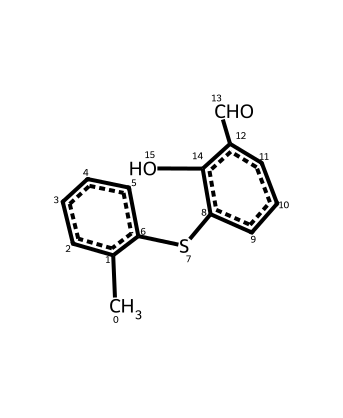 Cc1ccccc1Sc1cccc(C=O)c1O